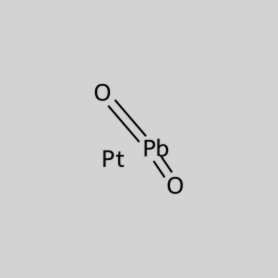 [O]=[Pb]=[O].[Pt]